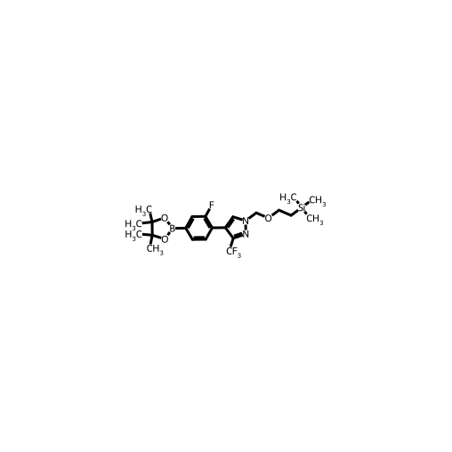 CC1(C)OB(c2ccc(-c3cn(COCC[Si](C)(C)C)nc3C(F)(F)F)c(F)c2)OC1(C)C